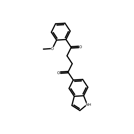 COc1ccccc1C(=O)CCC(=O)c1ccc2[nH]ccc2c1